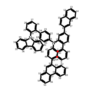 c1ccc(-c2ccc(-c3ccc4ccccc4c3)cc2N(c2ccc(-c3ccccc3-n3c4ccccc4c4ccccc43)cc2)c2ccc(-c3cc4ccccc4c4ccccc34)cc2)cc1